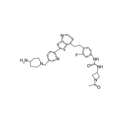 CC(=O)N1CC(NC(=O)Nc2ccc(CCc3ccnc4cc(-c5ccc(CN6CCC(N)CC6)cn5)sc34)c(F)c2)C1